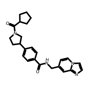 O=C(NCc1ccn2ccnc2c1)c1ccc(C2CCN(C(=O)C3CCCC3)C2)cc1